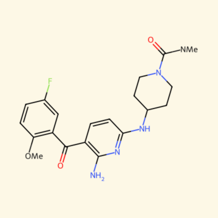 CNC(=O)N1CCC(Nc2ccc(C(=O)c3cc(F)ccc3OC)c(N)n2)CC1